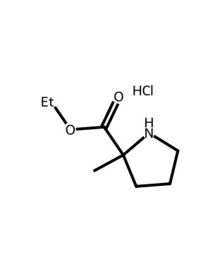 CCOC(=O)C1(C)CCCN1.Cl